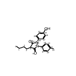 CCCCC1C(=O)N(c2ccc(C)cc2)N(c2ccc(O)cc2)C1=O